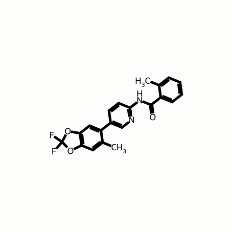 Cc1ccccc1C(=O)Nc1ccc(-c2cc3c(cc2C)OC(F)(F)O3)cn1